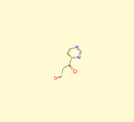 O=CCC(=O)c1ccncn1